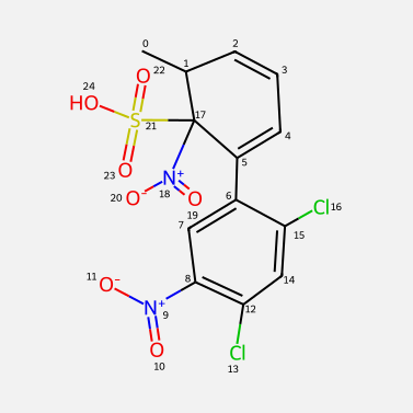 CC1C=CC=C(c2cc([N+](=O)[O-])c(Cl)cc2Cl)C1([N+](=O)[O-])S(=O)(=O)O